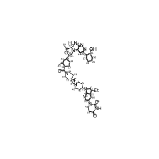 CCc1cn(C2CCN(CC3(F)CCN(C(=O)c4ccc([C@@H]5CN(c6cc(-c7ccccc7O)nnc6N)C[C@H](C)O5)cc4C)CC3)CC2)c2ncc(N3CCC(=O)NC3=O)cc12